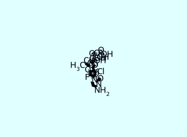 CC(C)C(=O)O[C@H]1[C@@H](F)[C@H](n2ccc(N)nc2=O)O[C@]1(CCl)COP(=O)(O)OP(=O)(O)OP(=O)(O)O